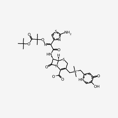 CC(C)(C)OC(=O)C(C)(C)ON=C(C(=O)N[C@@H]1C(=O)N2C(C(=O)[O-])=C(C[N+](C)(C)Cc3cc(=O)c(O)c[nH]3)CS[C@@H]12)c1csc(N)n1